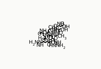 COC(=O)C(CCCNC(=N)N)NC(=O)C(CCC(N)=O)NC(=O)C(CC(C)C)NC(=O)C(CCCNC(=N)N)NC(=O)C(C)NC(=O)C(CO)NC(=O)C(N)CC(=O)O